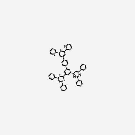 c1ccc(-c2cc(-c3cc(-c4ccc(-c5cc(-c6ccccn6)nc(-c6ccccn6)c5)cc4)cc(-c4nc(-c5ccccc5)nc(-c5ccccc5)n4)c3)nc(-c3ccccc3)n2)cc1